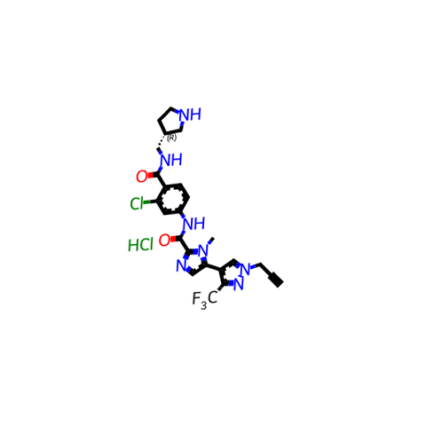 C#CCn1cc(-c2cnc(C(=O)Nc3ccc(C(=O)NC[C@@H]4CCNC4)c(Cl)c3)n2C)c(C(F)(F)F)n1.Cl